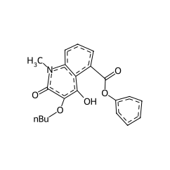 CCCCOc1c(O)c2c(C(=O)Oc3ccccc3)cccc2n(C)c1=O